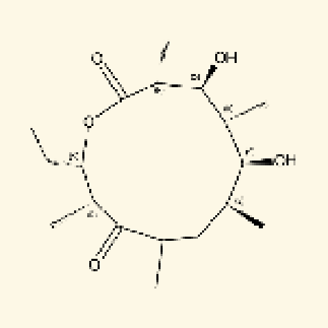 CC[C@@H]1OC(=O)[C@H](C)[C@@H](O)[C@H](C)[C@@H](O)[C@@H](C)CC(C)C(=O)[C@@H]1C